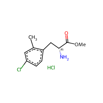 COC(=O)[C@H](N)Cc1ccc(Cl)cc1C.Cl